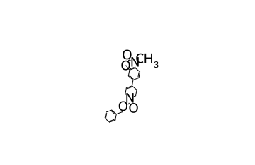 Cn1c(=O)oc2cc(C3=CCN(C(=O)OCc4ccccc4)CC3)ccc21